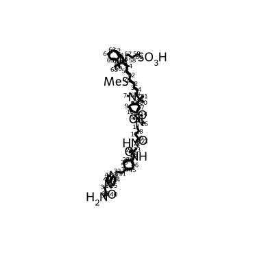 CSC(=C\C=C\C1=[N+](C)c2ccc(S(=O)(=O)N(C)CCCC(=O)NCC(=O)Nc3ccc(CC[N+]45CC[N+](CC(N)=O)(CC4)CC5)cc3)cc2C1(C)C)/C=C/C=C1/N(CCCS(=O)(=O)O)c2ccccc2C1(C)C